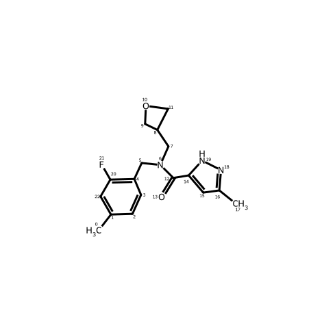 Cc1ccc(CN(CC2COC2)C(=O)c2cc(C)n[nH]2)c(F)c1